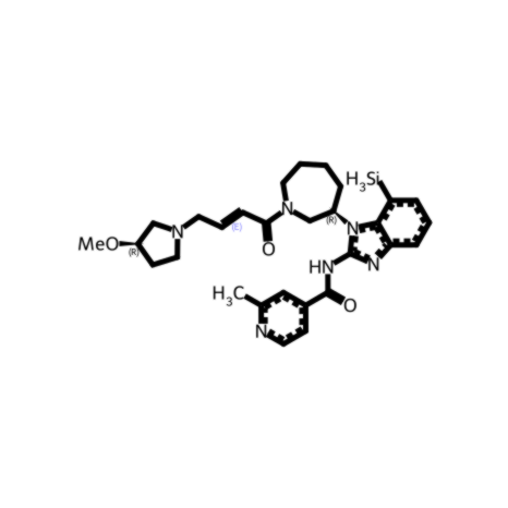 CO[C@@H]1CCN(C/C=C/C(=O)N2CCCC[C@@H](n3c(NC(=O)c4ccnc(C)c4)nc4cccc([SiH3])c43)C2)C1